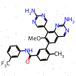 COc1c(-c2cc(C(=O)Nc3cccc(C(F)(F)F)c3)ccc2C)cc2cnc(N)nc2c1-c1cnc(N)nc1